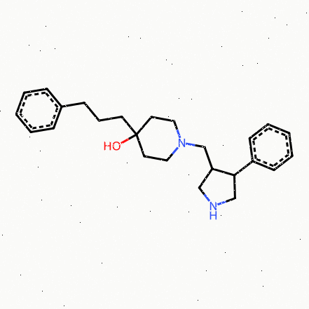 OC1(CCCc2ccccc2)CCN(CC2CNCC2c2ccccc2)CC1